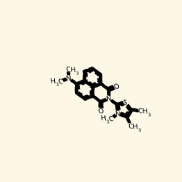 Cc1sc(N2C(=O)c3cccc4c(N(C)C)ccc(c34)C2=O)[n+](C)c1C